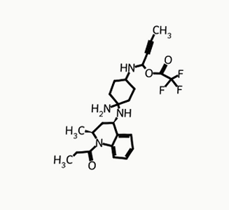 CC#CC(NC1CCC(N)(N[C@@H]2C[C@H](C)N(C(=O)CC)c3ccccc32)CC1)OC(=O)C(F)(F)F